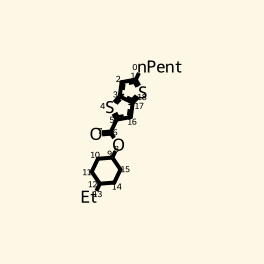 CCCCCc1cc2sc(C(=O)OC3CCC(CC)CC3)cc2s1